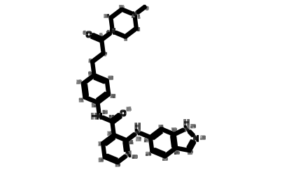 CN1CCN(C(=O)CCc2ccc(NC(=O)c3cccnc3Nc3ccc4cn[nH]c4c3)cc2)CC1